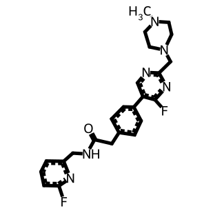 CN1CCN(Cc2ncc(-c3ccc(CC(=O)NCc4cccc(F)n4)cc3)c(F)n2)CC1